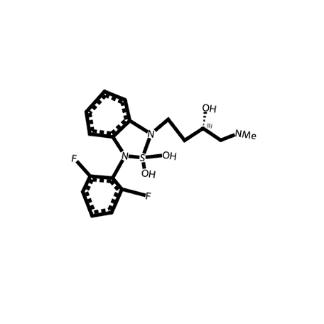 CNC[C@@H](O)CCN1c2ccccc2N(c2c(F)cccc2F)S1(O)O